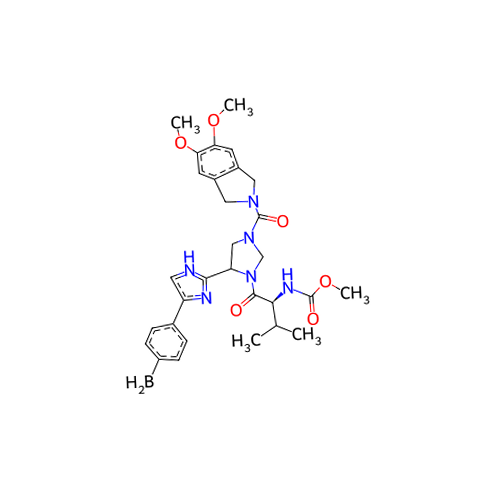 Bc1ccc(-c2c[nH]c(C3CN(C(=O)N4Cc5cc(OC)c(OC)cc5C4)CN3C(=O)[C@@H](NC(=O)OC)C(C)C)n2)cc1